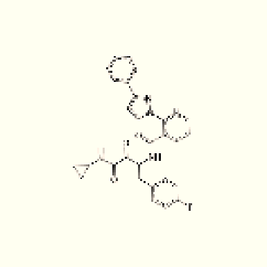 O=C(NC1CC1)C(=O)C(Cc1ccc(F)cc1)NC(=O)c1cccnc1-n1ccc(-c2ccccc2)n1